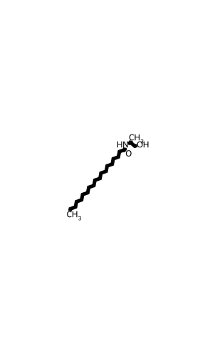 CCCCCCCCCCCCCCCCCCC(=O)NC(C)CO